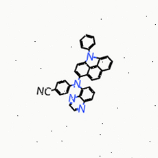 N#Cc1ccc(N(c2ccc3c4c2ccc2cccc(c24)n3-c2ccccc2)c2cccc3nccnc23)cc1